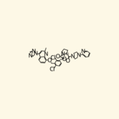 Cc1cc(-n2cncn2)c2cccc(OCc3c(Cl)ccc(S(=O)(=O)N4CCC[C@H]4C(=O)N4CCN(c5ccccn5)CC4)c3Cl)c2n1